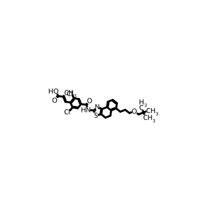 C/C(=C\c1c(Cl)cc(C(=O)Nc2nc3c(s2)CCc2c(CCCOCC(C)(C)C)cccc2-3)cc1Cl)C(=O)O